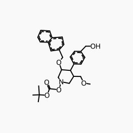 COCC1CN(OC(=O)OC(C)(C)C)CC(OCc2ccc3ccccc3c2)C1c1ccc(CO)cc1